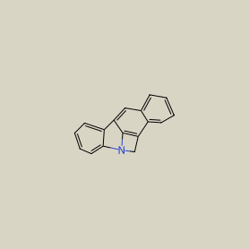 c1ccc2c3c4c(cc2c1)c1ccccc1n4C3